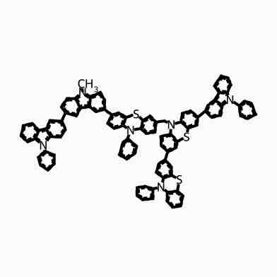 Cn1c2ccc(-c3ccc4c(c3)Sc3cc(CN5c6ccc(-c7ccc8c(c7)Sc7ccccc7N8c7ccccc7)cc6Sc6cc(-c7ccc8c(c7)c7ccccc7n8-c7ccccc7)ccc65)ccc3N4c3ccccc3)cc2c2cc(-c3ccc4c(c3)c3ccccc3n4-c3ccccc3)ccc21